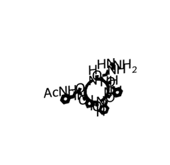 CC(=O)N[C@@H](Cc1ccccc1)C(=O)N[C@H]1CCCNC(=O)[C@H](CCCNC(=N)N)NC(=O)[C@H](Cc2ccccc2)NC(=O)[C@@H](CC2CCCCC2)NC(=O)[C@@H]2CCCN2C1=O